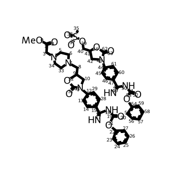 COC(=O)CN1CCN(CC2CN(c3ccc(C(=N)NC(=O)Oc4ccccc4)cc3)C(=O)O2)CC1.CS(=O)(=O)OCC1CN(c2ccc(C(=N)NC(=O)Oc3ccccc3)cc2)C(=O)O1